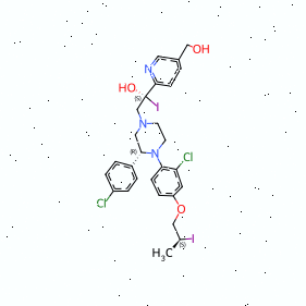 C[C@H](I)COc1ccc(N2CCN(C[C@](O)(I)c3ccc(CO)cn3)C[C@H]2c2ccc(Cl)cc2)c(Cl)c1